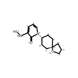 O=c1c(NS)cccn1[C@H]1CC[C@]2(CCCO2)CC1